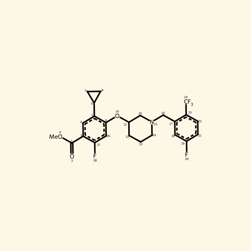 COC(=O)c1cc(C2CC2)c(OC2CCCN(Cc3cc(F)ccc3C(F)(F)F)C2)cc1F